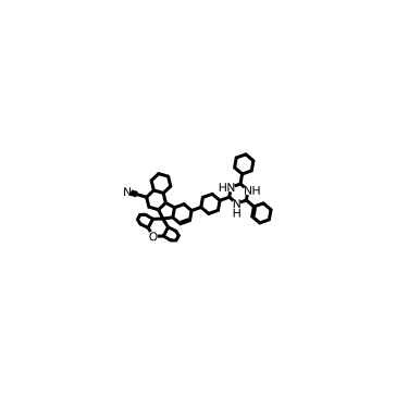 N#CC1CC2C(C3CCCCC13)C1CC(C3CCC(C4NC(C5=CCCCC5)NC(C5CCCCC5)N4)CC3)C=CC1C21C2CCCCC2OC2CCCCC21